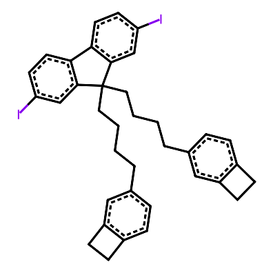 Ic1ccc2c(c1)C(CCCCc1ccc3c(c1)CC3)(CCCCc1ccc3c(c1)CC3)c1cc(I)ccc1-2